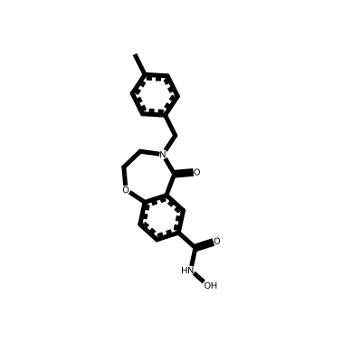 Cc1ccc(CN2CCOc3ccc(C(=O)NO)cc3C2=O)cc1